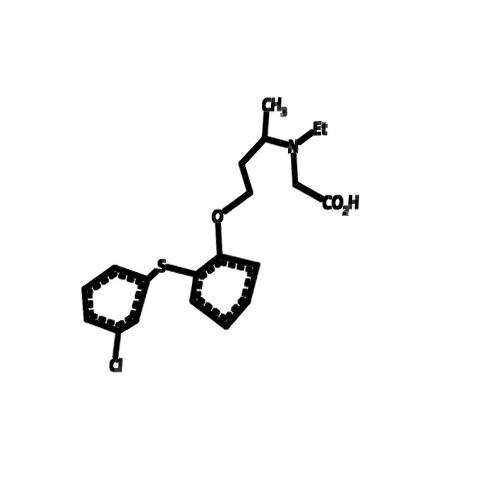 CCN(CC(=O)O)C(C)CCOc1ccccc1Sc1cccc(Cl)c1